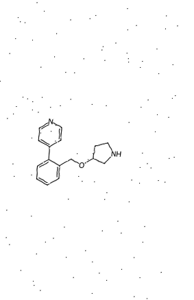 c1ccc(-c2ccncc2)c(COC2CCNC2)c1